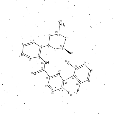 C[C@H]1CC(c2ccncc2NC(=O)c2ccc(F)c(-c3c(F)cccc3F)n2)C[C@H](N)C1